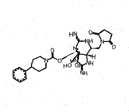 N=C1N[C@H]2[C@H](CN3C(=O)CCC3=O)NC(=N)N3C[C@H](OC(=O)N4CCC(c5ccccc5)CC4)C(O)(O)[C@]23N1